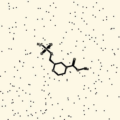 CC(C)(C)OC(=O)N1CCO[C@@H](COS(C)(=O)=O)C1